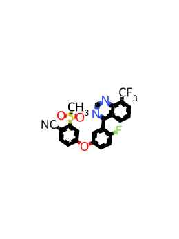 CS(=O)(=O)c1cc(Oc2ccc(F)c(-c3ncnc4c(C(F)(F)F)cccc34)c2)ccc1C#N